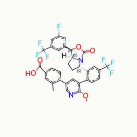 COc1ncc(-c2ccc(C(=O)O)cc2C)cc1-c1ccc(C(F)(F)F)cc1[C@@H]1CC[C@H]2[C@@H](c3cc(F)cc(C(F)(F)F)c3)OC(=O)N12